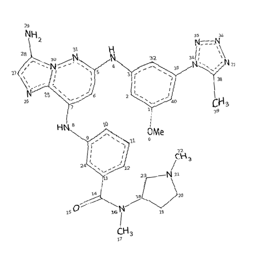 COc1cc(Nc2cc(Nc3cccc(C(=O)N(C)C4CCN(C)C4)c3)c3ncc(N)n3n2)cc(-n2nnnc2C)c1